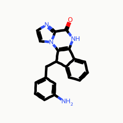 Nc1cccc(CC2c3ccccc3-c3[nH]c(=O)c4nccn4c32)c1